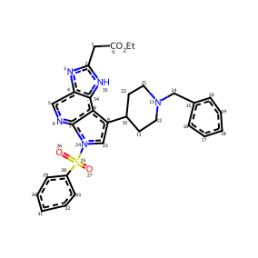 CCOC(=O)Cc1nc2cnc3c(c(C4CCN(Cc5ccccc5)CC4)cn3S(=O)(=O)c3ccccc3)c2[nH]1